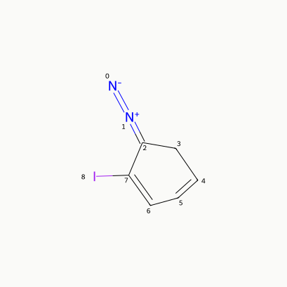 [N-]=[N+]=C1CC=CC=C1I